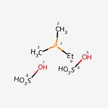 CCP(C)C.O=S(=O)(O)O.O=S(=O)(O)O